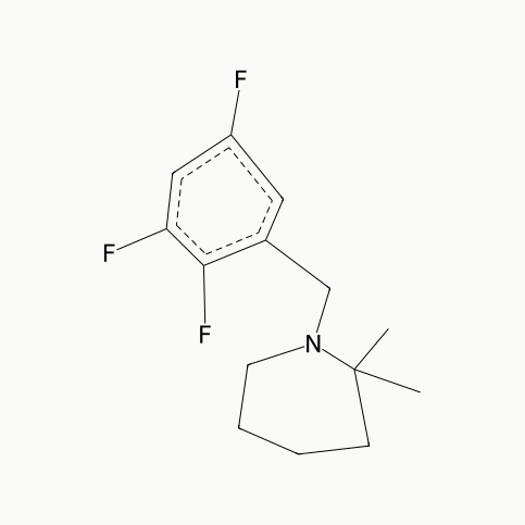 CC1(C)CCCCN1Cc1cc(F)cc(F)c1F